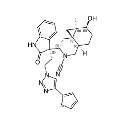 C[C@@]12C[C@@]13C[C@@H]([C@@]1(CCn4cc(-c5cccs5)nn4)C(=O)Nc4ccccc41)N(C#N)C[C@@H]3CC[C@@H]2O